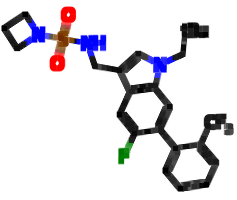 CC(C)(C)Cn1cc(CNS(=O)(=O)N2CCC2)c2cc(F)c(-c3ccccc3C(F)(F)F)cc21